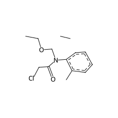 CC.CCOCN(C(=O)CCl)c1ccccc1C